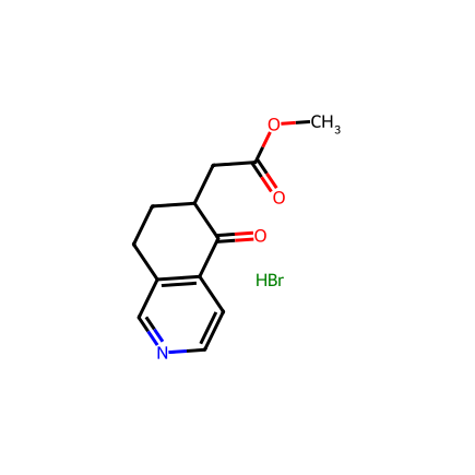 Br.COC(=O)CC1CCc2cnccc2C1=O